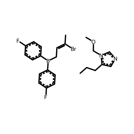 CC(Br)=CCB(c1ccc(F)cc1)c1ccc(F)cc1.CCCc1cncn1COC